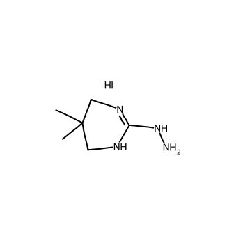 CC1(C)CN=C(NN)NC1.I